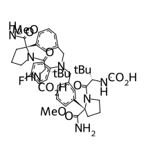 COc1ccc(CN(Cc2ccc(OC)c([C@]3(C(N)=O)CCCN3C(=O)[C@@H](NC(=O)O)C(C)(C)C)c2)c2ccc(F)cc2)cc1[C@]1(C(N)=O)CCCN1C(=O)[C@@H](NC(=O)O)C(C)(C)C